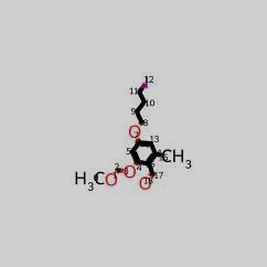 COCOc1cc(OCCCCI)cc(C)c1C=O